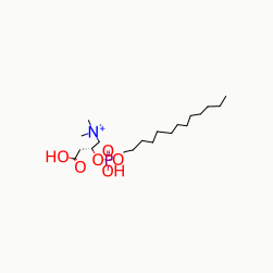 CCCCCCCCCCCCCOP(=O)(O)O[C@H](CC(=O)O)C[N+](C)(C)C